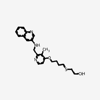 Cc1c(OCCCCSCCO)ccnc1CNc1cnc2ccccc2c1